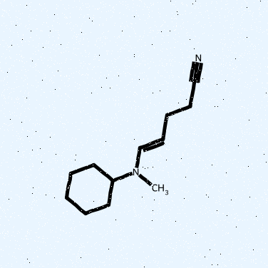 CN(C=CCCC#N)C1CCCCC1